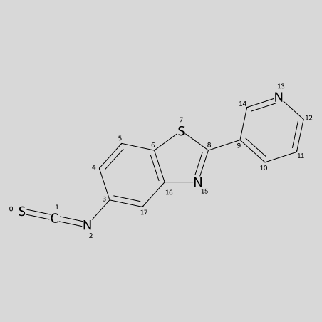 S=C=Nc1ccc2sc(-c3cccnc3)nc2c1